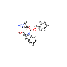 O=C(c1cc2ccccc2n1C(=O)OCc1ccccc1)C1CCN1